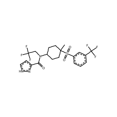 CC1(S(=O)(=O)c2cccc(C(F)(F)F)c2)CCC(N(CC(F)(F)F)C(=O)c2cc[nH]n2)CC1